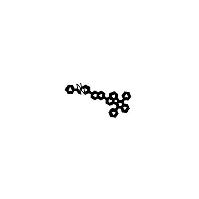 c1ccc(-c2cn3cc(-c4ccc5cc(-c6ccc7c8c(cccc68)-c6c-7c(-c7ccccc7)c7ccccc7c6-c6ccccc6)ccc5c4)ccc3n2)cc1